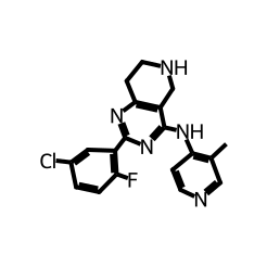 Cc1cnccc1Nc1nc(-c2cc(Cl)ccc2F)nc2c1CNCC2